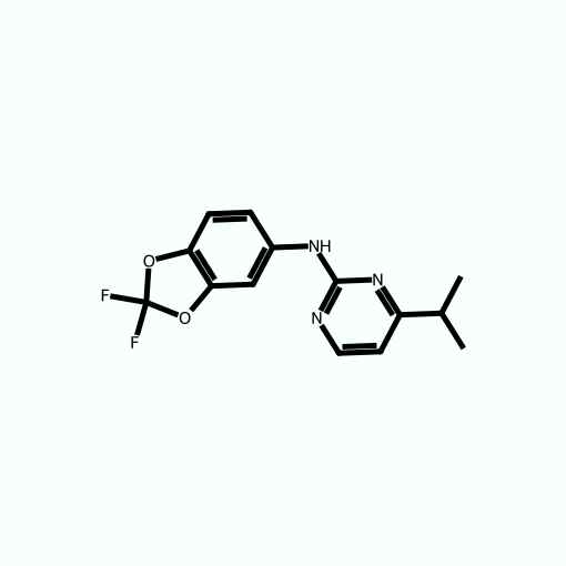 CC(C)c1ccnc(Nc2ccc3c(c2)OC(F)(F)O3)n1